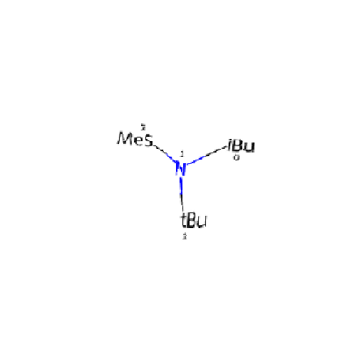 CCC(C)N(SC)C(C)(C)C